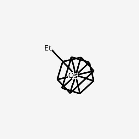 CC[C]12[CH]3[CH]4[CH]5[CH]1[Os]45321678[CH]2[CH]1[CH]6[CH]7[CH]28